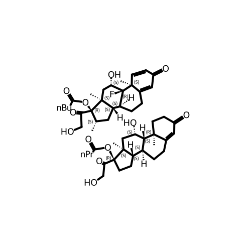 CCCC(=O)O[C@]1(C(=O)CO)CC[C@H]2[C@@H]3CCC4=CC(=O)CC[C@]4(C)[C@H]3[C@@H](O)C[C@@]21C.CCCCC(=O)O[C@]1(C(=O)CO)[C@@H](C)C[C@H]2[C@@H]3CCC4=CC(=O)C=C[C@]4(C)[C@@]3(F)[C@@H](O)C[C@@]21C